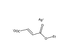 CCOC(=O)C=CC(=O)[O-].[Ag+]